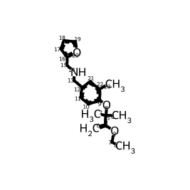 C=C(OCC)C(C)(C)Oc1ccc(CNCc2ccco2)cc1C